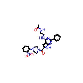 CC(=O)NCCNc1nc(-c2ccccc2)nc2[nH]c(C(=O)N3CCN(c4ccccc4[N+](=O)[O-])CC3)cc12